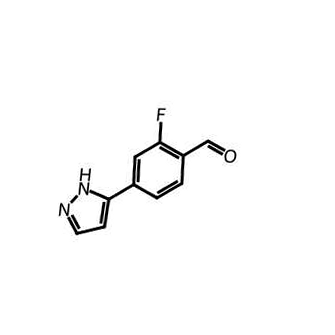 O=Cc1ccc(-c2ccn[nH]2)cc1F